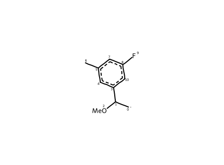 [CH2]C(OC)c1cc(C)cc(F)c1